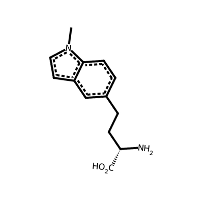 Cn1ccc2cc(CC[C@H](N)C(=O)O)ccc21